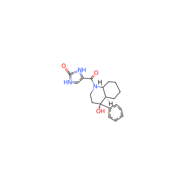 O=C(c1c[nH]c(=O)[nH]1)N1CC[C@@](O)(c2ccccc2)[C@@H]2CCCC[C@@H]21